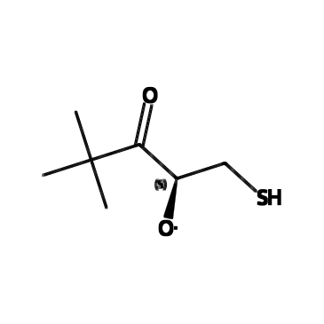 CC(C)(C)C(=O)[C@H]([O])CS